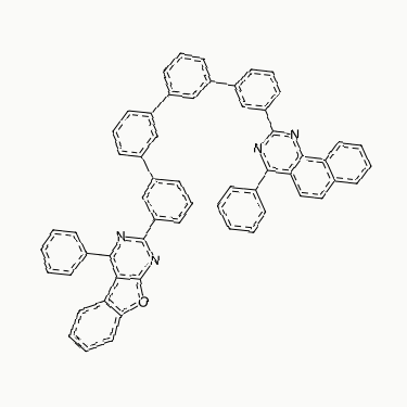 c1ccc(-c2nc(-c3cccc(-c4cccc(-c5cccc(-c6cccc(-c7nc(-c8ccccc8)c8c(n7)oc7ccccc78)c6)c5)c4)c3)nc3c2ccc2ccccc23)cc1